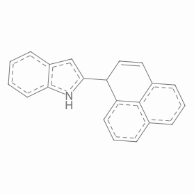 C1=CC(c2cc3ccccc3[nH]2)c2cccc3cccc1c23